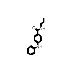 CCCNC(=O)c1ccc(Nc2ccccc2)cc1